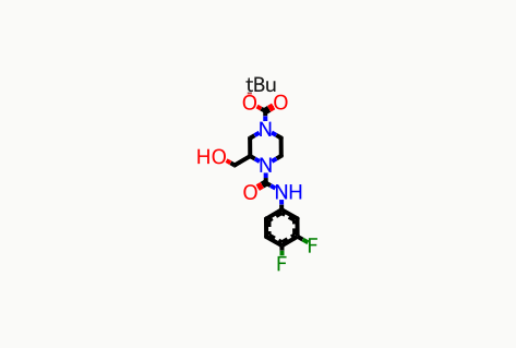 CC(C)(C)OC(=O)N1CCN(C(=O)Nc2ccc(F)c(F)c2)C(CO)C1